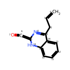 C=CCC1=NC(=C=O)Nc2ccccc21